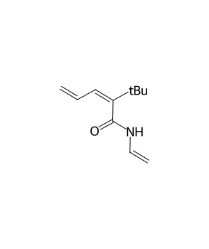 C=C/C=C(\C(=O)NC=C)C(C)(C)C